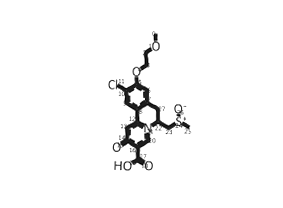 COCCOc1cc2c(cc1Cl)-c1cc(=O)c(C(=O)O)cn1C(C[S+](C)[O-])C2